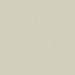 Cc1cnc(NC(=O)Cn2c3c(c(=O)n4nc(C5CCCCC5)cc24)CN(C(C)C)C3=O)s1